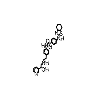 O=S(=O)(Nc1ccc(CCNCC(O)c2cccnc2)cc1)c1ccc(Nc2nc3c(s2)CCCC3)cc1